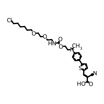 CN(CCOC(=O)NCCOCCOCCCCCCCl)c1ccc(-c2ccc(/C=C(\C#N)C(=O)O)s2)cc1